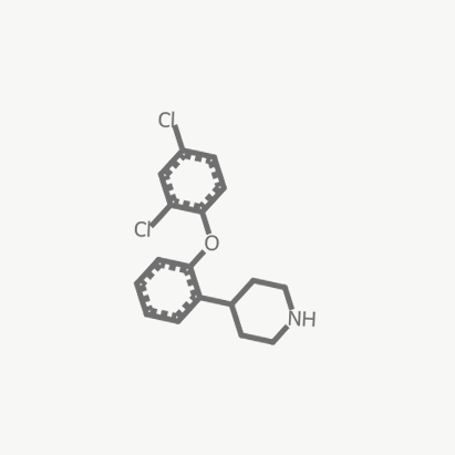 Clc1ccc(Oc2ccccc2C2CCNCC2)c(Cl)c1